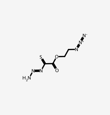 [N-]=[N+]=NCCOC(=O)C(=S)N=NN